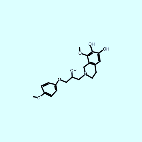 COc1ccc(OCC(O)CN2CCc3cc(O)c(O)c(OC)c3C2)cc1